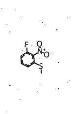 CSc1cccc(F)c1[N+](=O)[O-]